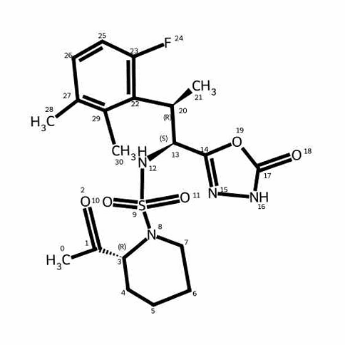 CC(=O)[C@H]1CCCCN1S(=O)(=O)N[C@H](c1n[nH]c(=O)o1)[C@H](C)c1c(F)ccc(C)c1C